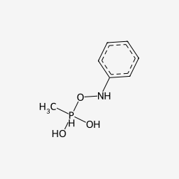 C[PH](O)(O)ONc1ccccc1